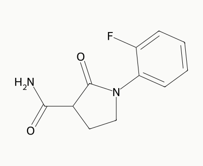 NC(=O)C1CCN(c2ccccc2F)C1=O